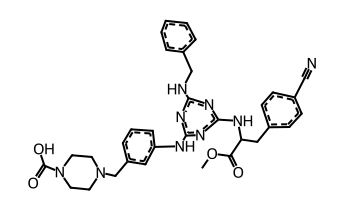 COC(=O)C(Cc1ccc(C#N)cc1)Nc1nc(NCc2ccccc2)nc(Nc2cccc(CN3CCN(C(=O)O)CC3)c2)n1